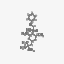 CC1CC(CC(C)(C)N)CC(C)C1P(=O)(O)COc1ccccc1